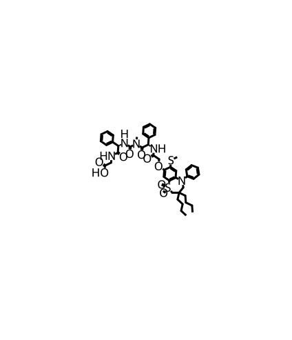 CCCCC1(CCCC)CN(c2ccccc2)c2cc(SC)c(OCC(=O)N[C@@H](C(=O)N(C)C(=O)N[C@@H](C(=O)NCC(=O)O)c3ccccc3)c3ccccc3)cc2S(=O)(=O)C1